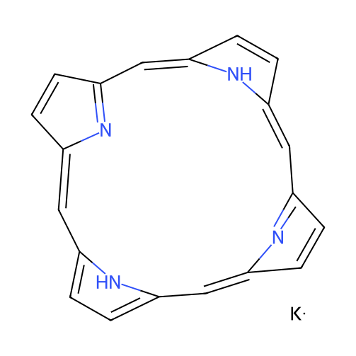 C1=Cc2cc3ccc(cc4nc(cc5ccc(cc1n2)[nH]5)C=C4)[nH]3.[K]